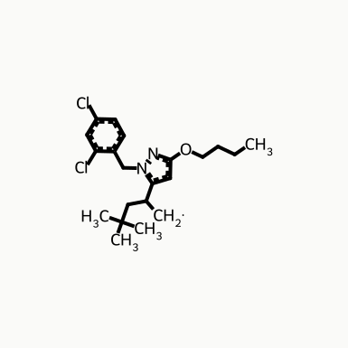 [CH2]C(CC(C)(C)C)c1cc(OCCCC)nn1Cc1ccc(Cl)cc1Cl